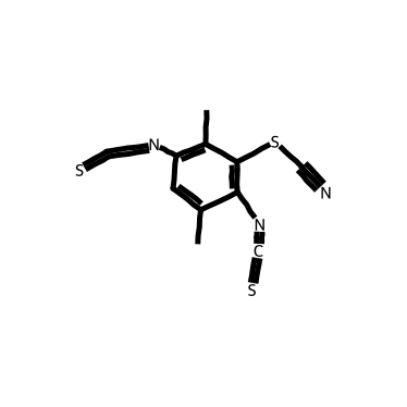 Cc1cc(N=C=S)c(C)c(SC#N)c1N=C=S